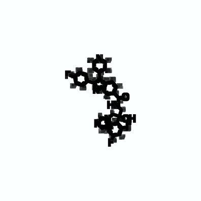 O=C(NCC(O)(Cn1cncn1)c1ccc(F)cc1F)c1ccc2c(-c3ccncc3)c(-c3ccc(F)cc3)nn2c1